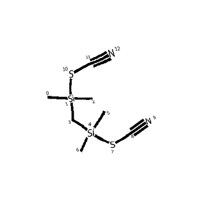 C[Si](C)(C[Si](C)(C)SC#N)SC#N